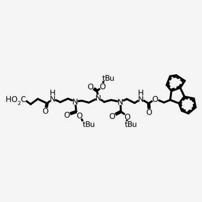 CC(C)(C)OC(=O)N(CCNC(=O)CCC(=O)O)CCN(CCN(CCNC(=O)OCC1c2ccccc2-c2ccccc21)C(=O)OC(C)(C)C)C(=O)OC(C)(C)C